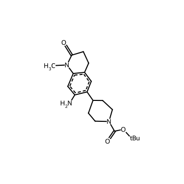 CN1C(=O)CCc2cc(C3CCN(C(=O)OC(C)(C)C)CC3)c(N)cc21